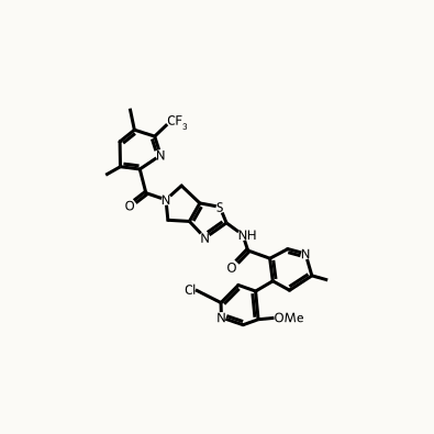 COc1cnc(Cl)cc1-c1cc(C)ncc1C(=O)Nc1nc2c(s1)CN(C(=O)c1nc(C(F)(F)F)c(C)cc1C)C2